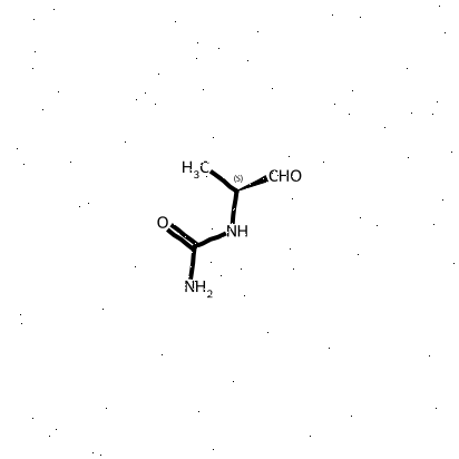 C[C@@H](C=O)NC(N)=O